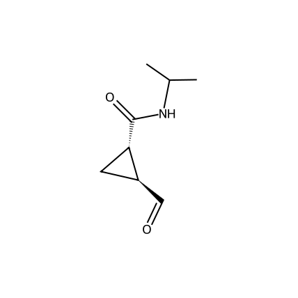 CC(C)NC(=O)[C@H]1C[C@@H]1C=O